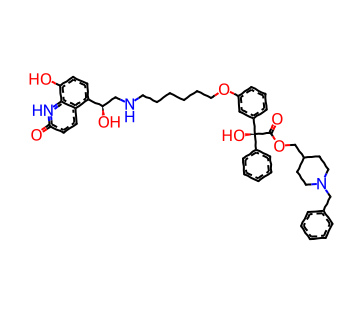 O=C(OCC1CCN(Cc2ccccc2)CC1)[C@](O)(c1ccccc1)c1cccc(OCCCCCCNC[C@@H](O)c2ccc(O)c3[nH]c(=O)ccc23)c1